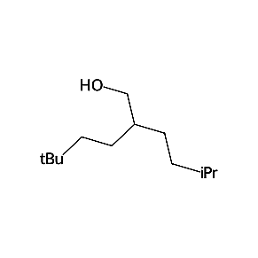 CC(C)CCC(CO)CCC(C)(C)C